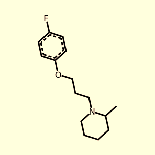 CC1CCCCN1CCCOc1ccc(F)cc1